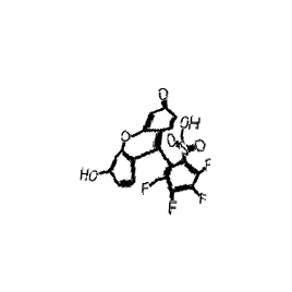 O=c1ccc2c(-c3c(F)c(F)c(F)c(F)c3S(=O)(=O)O)c3ccc(O)cc3oc-2c1